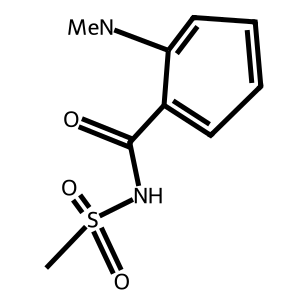 CNc1ccccc1C(=O)NS(C)(=O)=O